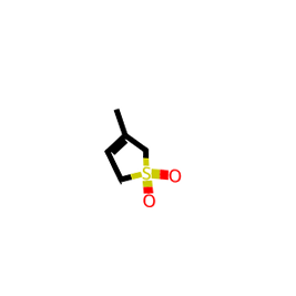 CC1=C[CH]S(=O)(=O)C1